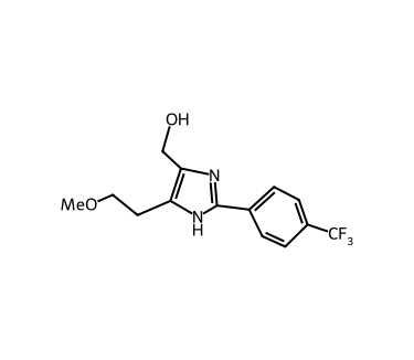 COCCc1[nH]c(-c2ccc(C(F)(F)F)cc2)nc1CO